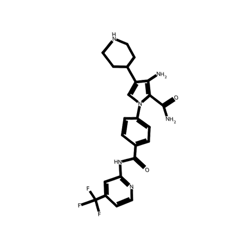 NC(=O)c1c(N)c(C2CCNCC2)cn1-c1ccc(C(=O)Nc2cc(C(F)(F)F)ccn2)cc1